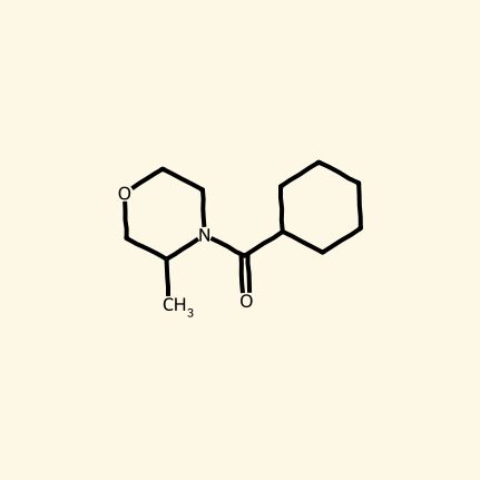 CC1COCCN1C(=O)C1CCCCC1